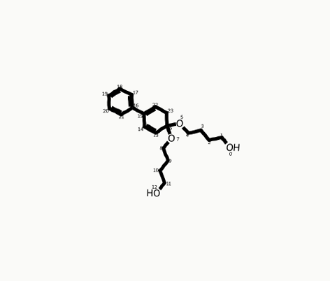 OCCCCOC1(OCCCCO)C=CC(c2ccccc2)=CC1